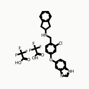 Clc1cc(Oc2ccc3[nH]cnc3c2)ccc1CNC1Cc2ccccc2C1.O=C(O)C(F)(F)F.O=C(O)C(F)(F)F